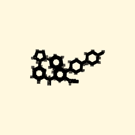 COc1cc(Nc2cc(N3OCC[C@@H]3c3ccccc3)ncn2)ccc1N1CCC(N2CCN(C)CC2)CC1